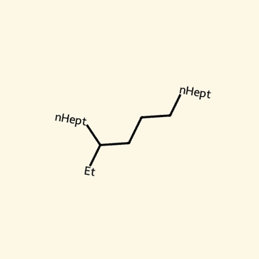 CCCCCCCCCCC(CC)CCCCCCC